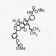 COC(=O)COc1cccc(C(=O)Cn2c(=O)c3c(nc(N4CCCC(NC(=O)OC(C)(C)C)C4)n3CC=C(C)C)n(C)c2=O)c1